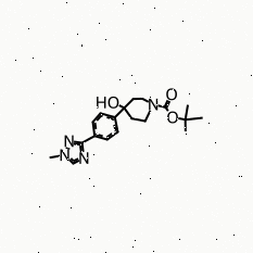 Cn1cnc(-c2ccc(C3(O)CCN(C(=O)OC(C)(C)C)CC3)cc2)n1